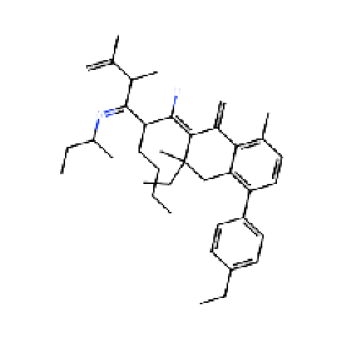 C=C1/C(=C(\N)C(CCCC)/C(=N\C(C)CC)C(C)C(=C)C)C(C)(CC)Cc2c(-c3ccc(CC)cc3)ccc(C)c21